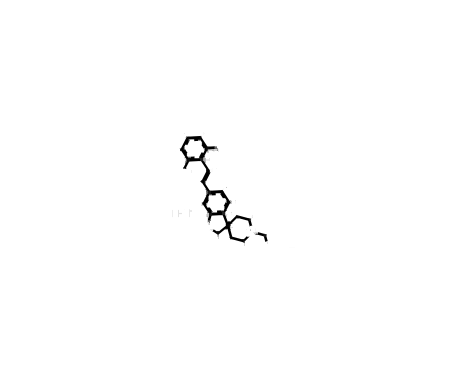 Cl.O=C(O)CN1CCC2(CC1)COc1cc(/C=C/c3c(Cl)cccc3Cl)ccc12